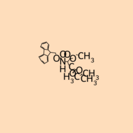 CCOC(=O)C(CCC(=O)OC(C)(C)C)NC(=O)OCC1c2ccccc2-c2ccccc21